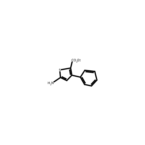 CCOC(=O)c1sc(N)cc1-c1ccccc1